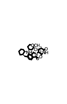 CC1(C)C[C@H](N[C@H]2CCCC[C@@H]2Cc2ccc3c(c2)CN(C2CCC(=O)NC2=O)C3=O)CCO1